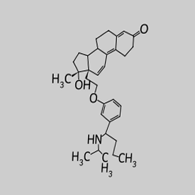 CCCC(NC(C)C)c1cccc(OCC[C@]23C=CC4=C5CCC(=O)C=C5CCC4C2CC[C@@]3(C)O)c1